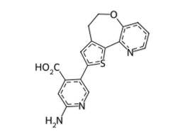 Nc1cc(C(=O)O)c(-c2cc3c(s2)-c2ncccc2OCC3)cn1